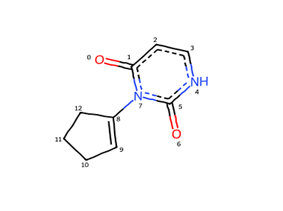 O=c1cc[nH]c(=O)n1C1=CCCC1